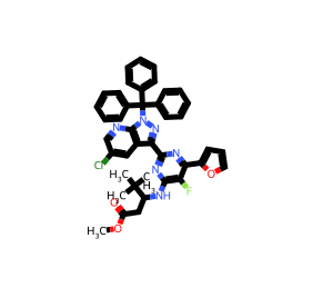 COC(=O)CC(Nc1nc(-c2nn(C(c3ccccc3)(c3ccccc3)c3ccccc3)c3ncc(Cl)cc23)nc(-c2ccco2)c1F)C(C)(C)C